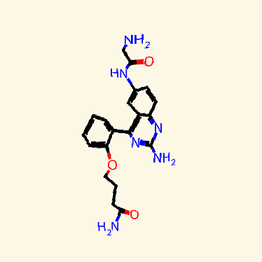 NCC(=O)Nc1ccc2nc(N)nc(-c3ccccc3OCCCC(N)=O)c2c1